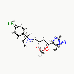 CCC(C)(NCCCC(OC(C)=O)c1nc[nH]c1C)c1ccc(Cl)cc1